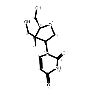 CC1(CO)C(n2ccc(=O)[nH]c2=O)CO[C@@H]1CO